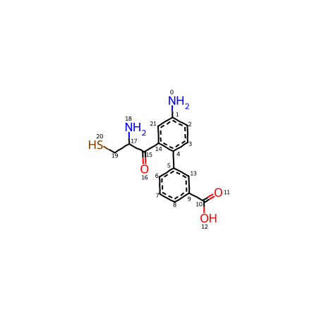 Nc1ccc(-c2cccc(C(=O)O)c2)c(C(=O)C(N)CS)c1